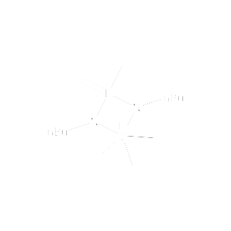 C=P1(C)N(CCCC)[SH](C)(C)(C)N1CCCC